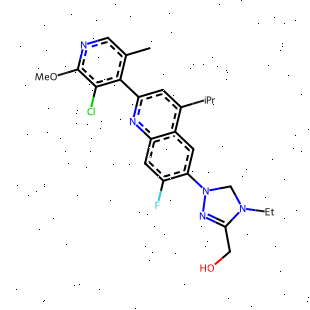 CCN1CN(c2cc3c(C(C)C)cc(-c4c(C)cnc(OC)c4Cl)nc3cc2F)N=C1CO